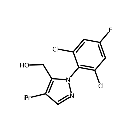 CC(C)c1cnn(-c2c(Cl)cc(F)cc2Cl)c1CO